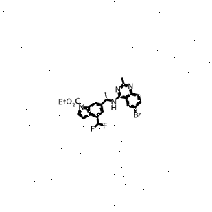 CCOC(=O)n1ccc2c(C(F)F)cc([C@@H](C)Nc3nc(C)nc4ccc(Br)cc34)cc21